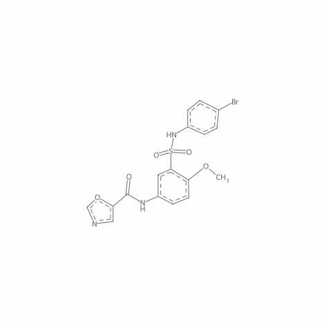 COc1ccc(NC(=O)c2cnco2)cc1S(=O)(=O)Nc1ccc(Br)cc1